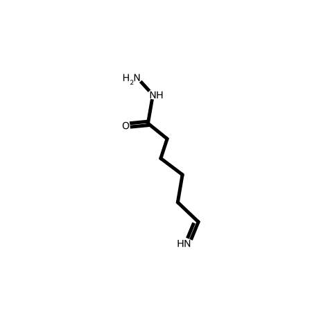 N=CCCCCC(=O)NN